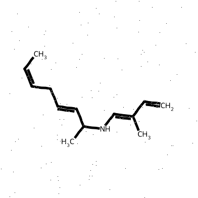 C=C/C(C)=C/NC(C)/C=C/C/C=C\C